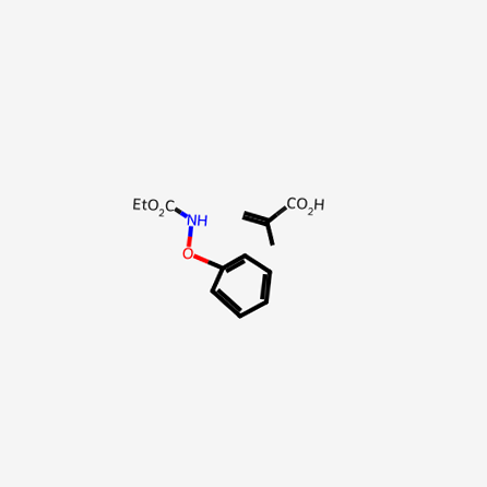 C=C(C)C(=O)O.CCOC(=O)NOc1ccccc1